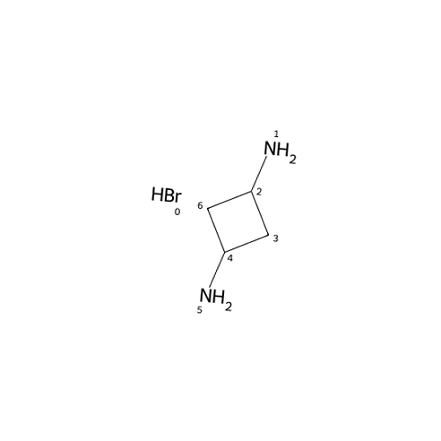 Br.NC1CC(N)C1